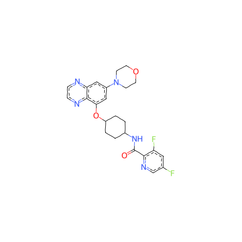 O=C(NC1CCC(Oc2cc(N3CCOCC3)cc3nccnc23)CC1)c1ncc(F)cc1F